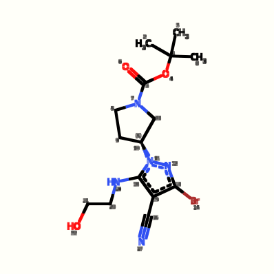 CC(C)(C)OC(=O)N1CC[C@H](n2nc(Br)c(C#N)c2NCCO)C1